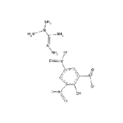 N/N=C(\N)N(N)N.O=[N+]([O-])c1cc([N+](=O)[O-])c(O)c([N+](=O)[O-])c1